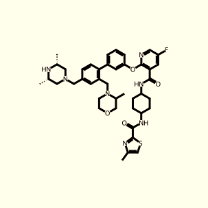 Cc1csc(C(=O)NC2CCC(NC(=O)c3cc(F)cnc3Oc3cccc(-c4ccc(CN5C[C@@H](C)N[C@@H](C)C5)cc4CN4CCOCC4C)c3)CC2)n1